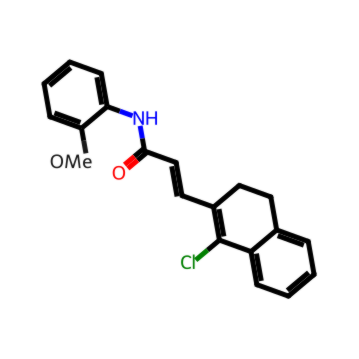 COc1ccccc1NC(=O)C=CC1=C(Cl)c2ccccc2CC1